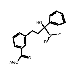 COC(=O)c1cccc(CCC(O)(c2ccccc2)N(C(C)C)C(C)C)c1